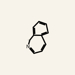 [CH]1N=CC=Cc2ccccc21